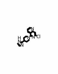 Clc1cc2ncccc2c(N2CCC(c3ncc[nH]3)CC2)n1